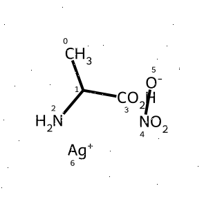 CC(N)C(=O)O.O=[N+]([O-])[O-].[Ag+]